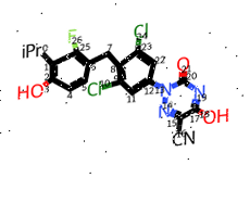 CC(C)c1c(O)ccc(Cc2c(Cl)cc(-n3nc(C#N)c(O)nc3=O)cc2Cl)c1F